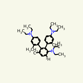 [2H]c1cc(C)c(-c2ccc(N(CC)CC)cc2C)c(-c2ccc(N(CC)CC)cc2C)c1N(CC)CC